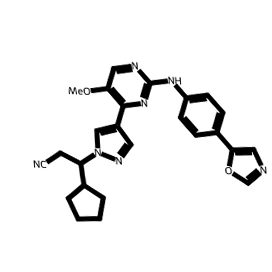 COc1cnc(Nc2ccc(-c3cnco3)cc2)nc1-c1cnn(C(CC#N)C2CCCC2)c1